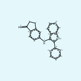 N=C1CCc2cc(Nc3c(-c4ncccn4)oc4cnccc34)ccc21